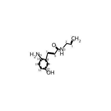 C=CCNC(=O)C=Cc1cc(O)ccc1N